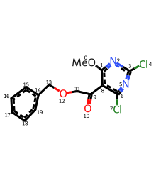 COc1nc(Cl)nc(Cl)c1C(=O)COCc1ccccc1